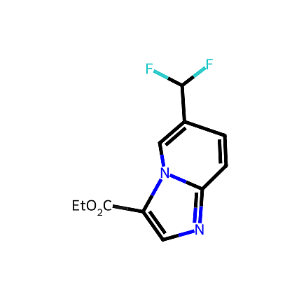 CCOC(=O)c1cnc2ccc(C(F)F)cn12